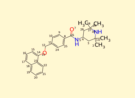 CC1(C)CC(NC(=O)c2ccc(COc3cccc4ccccc34)cc2)CC(C)(C)N1